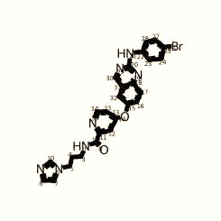 O=C(NCCCn1ccnc1)c1cc(Oc2ccc3nc(Nc4ccc(Br)cc4)ncc3c2)ccn1